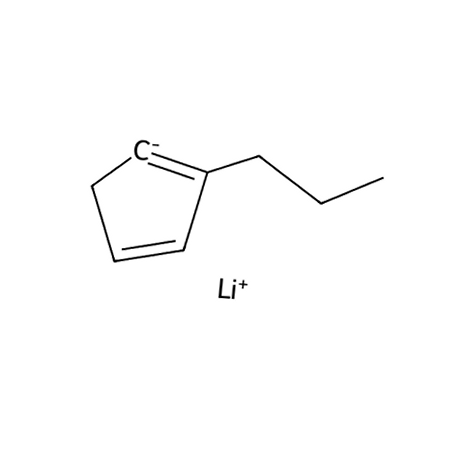 CCCC1=[C-]CC=C1.[Li+]